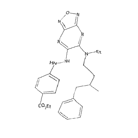 CCOC(=O)c1ccc(NNc2nc3nonc3nc2N(CC)CCC(C)Cc2ccccc2)cc1